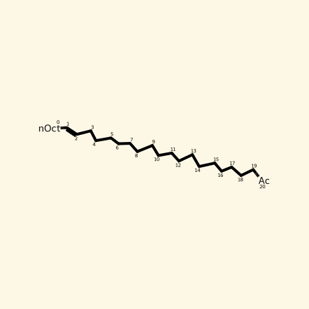 CCCCCCCC/C=C/CCCCCCCCCCCCCCCCCC(C)=O